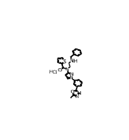 Cc1nnc(-c2cccc(-n3ccc(N(CCNCc4ccccc4)C(=O)c4cccs4)n3)c2)o1.Cl